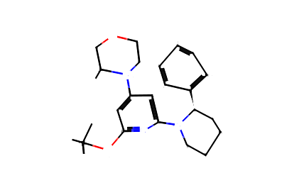 CC1COCCN1c1cc(OC(C)(C)C)nc(N2CCCC[C@@H]2c2ccccc2)c1